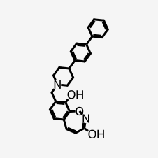 OC1=NOc2c(ccc(CN3CCC(c4ccc(-c5ccccc5)cc4)CC3)c2O)C=C1